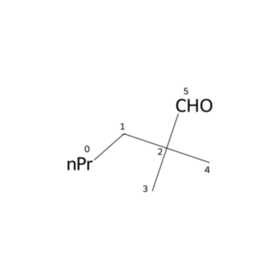 CCCCC(C)(C)C=O